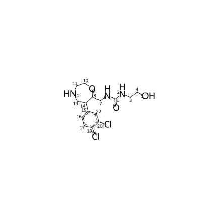 O=C(NCCO)NCC1OCCNCC1c1ccc(Cl)c(Cl)c1